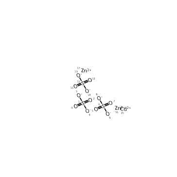 O=S(=O)([O-])[O-].O=S(=O)([O-])[O-].O=S(=O)([O-])[O-].[Cd+2].[Zn+2].[Zn+2]